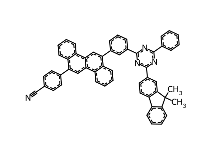 CC1(C)c2ccccc2-c2ccc(-c3nc(-c4ccccc4)nc(-c4cccc(-c5cc6c7ccccc7c(-c7ccc(C#N)cc7)cc6c6ccccc56)c4)n3)cc21